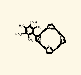 Cc1c(-c2cc3cc4nc(cc5ccc(cc6nc(cc2[nH]3)C=C6)[nH]5)C=C4)c(C)c(S(=O)(=O)O)c(C)c1S(=O)(=O)O